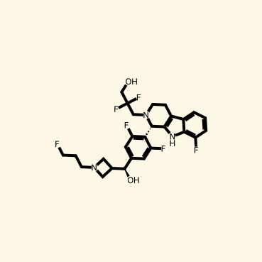 OCC(F)(F)CN1CCc2c([nH]c3c(F)cccc23)[C@@H]1c1c(F)cc([C@@H](O)C2CN(CCCF)C2)cc1F